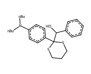 CCCCN(CCCC)c1ccc(C2(C(O)c3ccccc3)SCCCS2)cc1